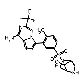 Cc1ccc(S(=O)(=O)N2CC3NCC2C3O)cc1-c1cnc2c(N)nc(C(F)(F)F)cn12